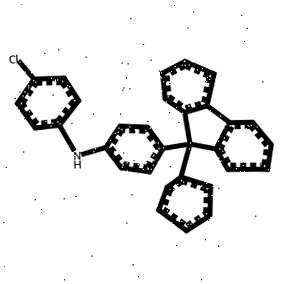 Clc1ccc(Nc2ccc(C3(c4ccccc4)c4ccccc4-c4ccccc43)cc2)cc1